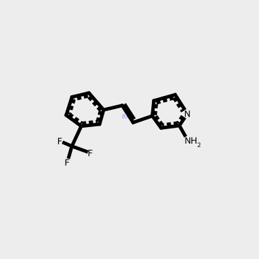 Nc1cc(/C=C/c2cccc(C(F)(F)F)c2)ccn1